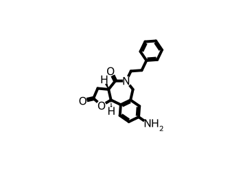 Nc1ccc2c(c1)CN(CCc1ccccc1)C(=O)[C@H]1CC(=O)O[C@H]21